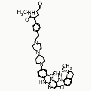 CNC(=O)C(CCC=O)c1ccc(CCN2CCN(C3CCN(c4ccc(Nc5ncc(Cl)c(Nc6cccc7c6N(SC)CC7)n5)c(OC)c4)CC3)CC2)cc1